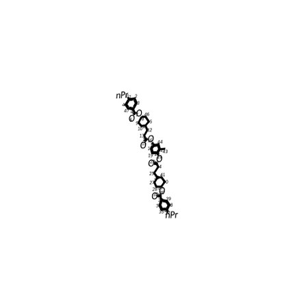 CCCc1ccc(C(=O)OC2CCC(CCC(=O)Oc3ccc(OC(=O)CCC4CCC(OC(=O)c5ccc(CCC)cc5)CC4)c(C)c3)CC2)cc1